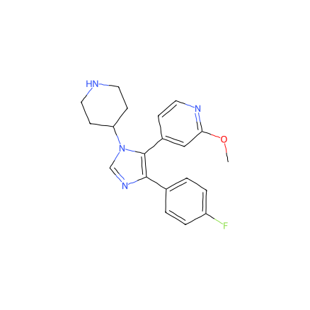 COc1cc(-c2c(-c3ccc(F)cc3)ncn2C2CCNCC2)ccn1